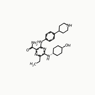 CCc1nc(C(N)=O)c(Nc2ccc(C3CCNCC3)cc2)nc1N[C@H]1CC[C@H](O)CC1